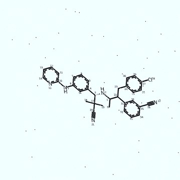 CC(N[C@@H](c1cccc(Nc2ccccn2)c1)C(C)(C)C#N)C(Cc1ccc(Cl)cc1)c1cccc(C#N)c1